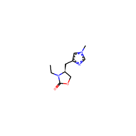 CCN1C(=O)OC[C@@H]1Cc1cn(C)cn1